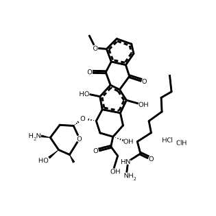 CCCCCCCC(=O)NN.COc1cccc2c1C(=O)c1c(O)c3c(c(O)c1C2=O)C[C@@](O)(C(=O)CO)C[C@@H]3O[C@H]1C[C@H](N)[C@H](O)[C@H](C)O1.Cl.Cl